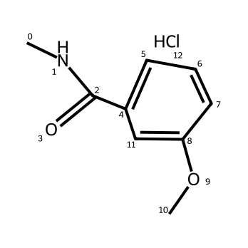 CNC(=O)c1cccc(OC)c1.Cl